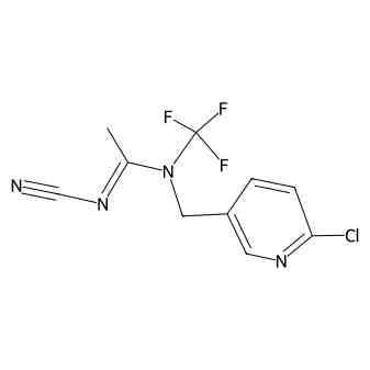 CC(=NC#N)N(Cc1ccc(Cl)nc1)C(F)(F)F